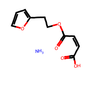 N.O=C(O)/C=C\C(=O)OCCc1ccco1